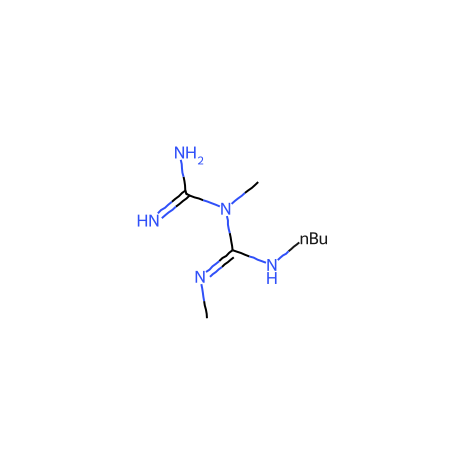 CCCCN/C(=N\C)N(C)C(=N)N